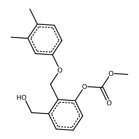 COC(=O)Oc1cccc(CO)c1COc1ccc(C)c(C)c1